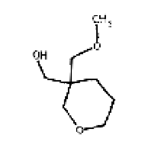 COCC1(CO)CCCOC1